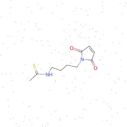 CC(=S)NCCCCN1C(=O)C=CC1=O